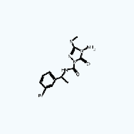 CSc1nn(C(=O)NC(C)c2cccc(Br)c2)c(=O)n1N